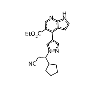 CCOC(=O)c1cnc2[nH]ccc2c1-c1cnn([C@@H](CC#N)C2CCCC2)c1